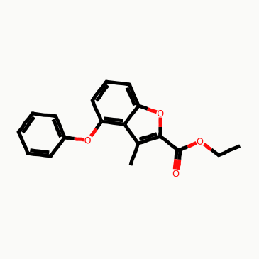 CCOC(=O)c1oc2cccc(Oc3ccccc3)c2c1C